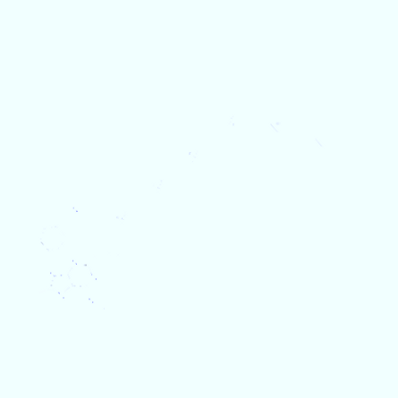 CCCCOc1nc(N)c2[nH]c(=O)n(Cc3ccc(CN(C)CCC/C(C)=C/CC/C(C)=C/CC/C(C)=C/CC/C=C(\C)CC/C=C(\C)CCC=C(C)C)cc3)c2n1